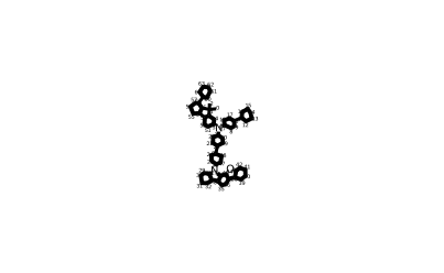 CC1(C)c2cc(N(c3ccc(-c4ccccc4)cc3)c3ccc(-c4ccc(-n5c6ccccc6c6ccc7c8ccccc8oc7c65)cc4)cc3)ccc2-c2cccc(-c3ccccc3)c21